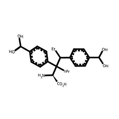 CCCC(c1ccc(C(O)O)cc1)(C(CC)c1ccc(C(O)O)cc1)[C@H](N)C(=O)O